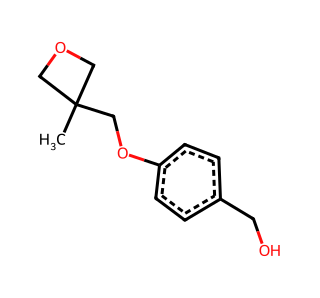 CC1(COc2ccc(CO)cc2)COC1